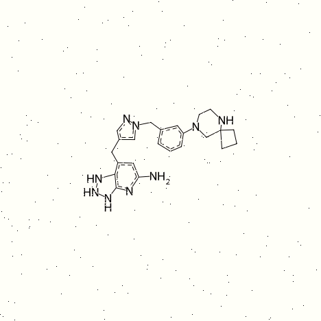 Nc1cc(Cc2cnn(Cc3cccc(N4CCNC5(CCC5)C4)c3)c2)c2c(n1)NNN2